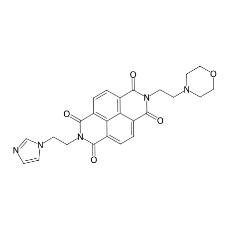 O=C1c2ccc3c4c(ccc(c24)C(=O)N1CCN1CCOCC1)C(=O)N(CCn1ccnc1)C3=O